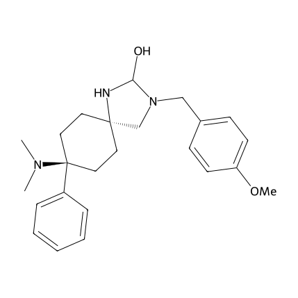 COc1ccc(CN2C[C@]3(CC[C@](c4ccccc4)(N(C)C)CC3)NC2O)cc1